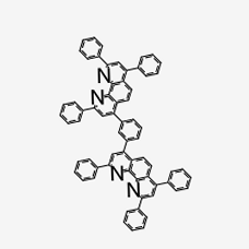 c1ccc(-c2cc(-c3ccccc3)c3ccc4c(-c5cccc(-c6cc(-c7ccccc7)nc7c6ccc6c(-c8ccccc8)cc(-c8ccccc8)nc67)c5)cc(-c5ccccc5)nc4c3n2)cc1